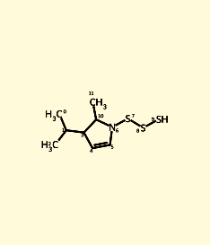 CC(C)C1C=CN(SSS)C1C